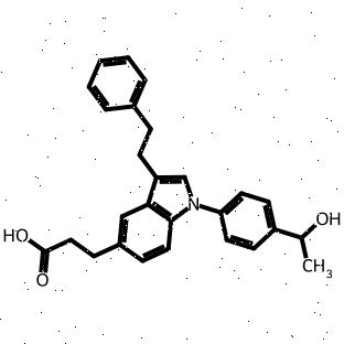 CC(O)c1ccc(-n2cc(CCc3ccccc3)c3cc(CCC(=O)O)ccc32)cc1